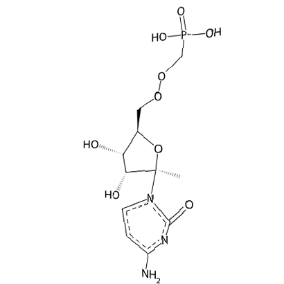 C[C@@]1(n2ccc(N)nc2=O)O[C@H](COOCP(=O)(O)O)[C@@H](O)[C@H]1O